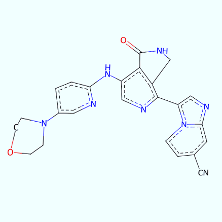 N#Cc1ccn2c(-c3ncc(Nc4ccc(N5CCOCC5)cn4)c4c3CNC4=O)cnc2c1